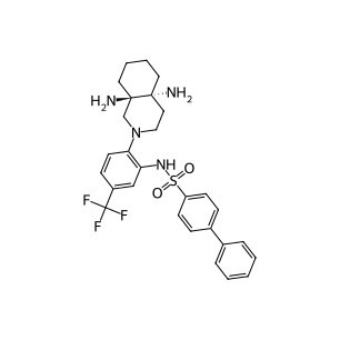 N[C@@]12CCCC[C@@]1(N)CN(c1ccc(C(F)(F)F)cc1NS(=O)(=O)c1ccc(-c3ccccc3)cc1)CC2